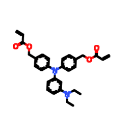 C=CC(=O)OCc1ccc(N(c2ccc(COC(=O)C=C)cc2)c2cccc(N(CC)CC)c2)cc1